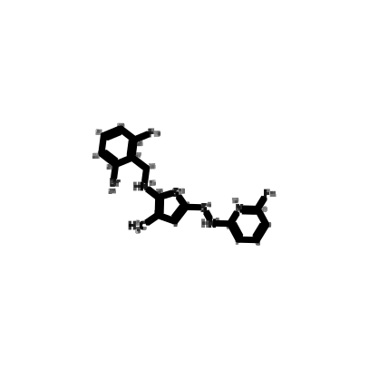 Cc1cc(SNc2cccc(F)n2)sc1NCc1c(F)cccc1Br